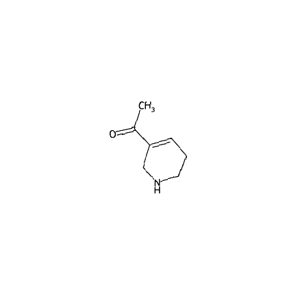 CC(=O)C1=CCCNC1